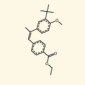 CCOC(=O)c1ccc(C=C(C)c2ccc(OC)c(C(C)(C)C)c2)cc1